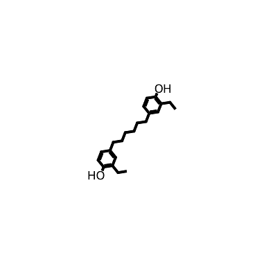 CCc1cc(CCCCCCc2ccc(O)c(CC)c2)ccc1O